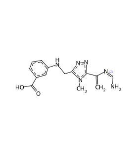 C=C(/N=C\N)c1nnc(CNc2cccc(C(=O)O)c2)n1C